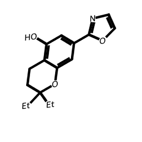 CCC1(CC)CCc2c(O)cc(-c3ncco3)cc2O1